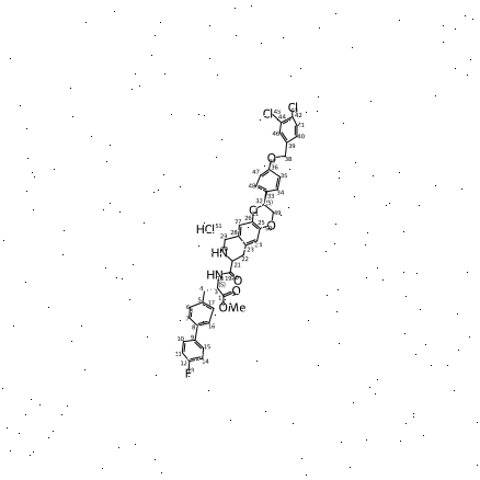 COC(=O)[C@H](Cc1ccc(-c2ccc(F)cc2)cc1)NC(=O)C1Cc2cc3c(cc2CN1)O[C@@H](c1ccc(OCc2ccc(Cl)c(Cl)c2)cc1)CO3.Cl